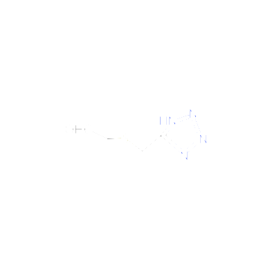 O=[C]CSCc1nnn[nH]1